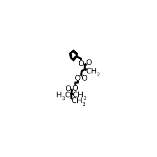 C=C(CC(=O)OCCOC(=O)C(C)(C)CC)C(=O)OCc1ccccc1